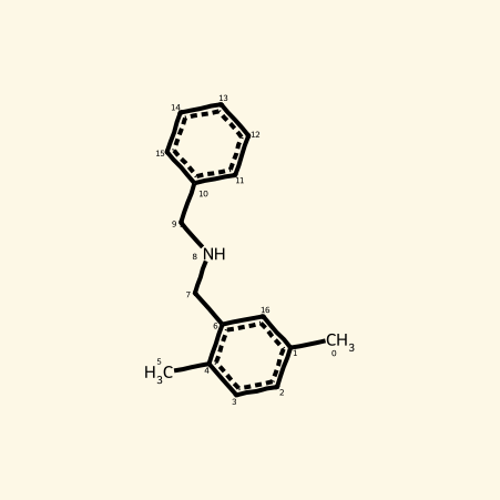 Cc1ccc(C)c(CN[CH]c2ccccc2)c1